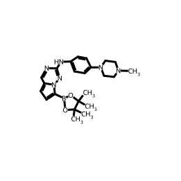 CN1CCN(c2ccc(Nc3ncc4ccc(B5OC(C)(C)C(C)(C)O5)n4n3)cc2)CC1